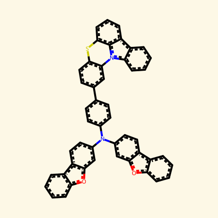 c1ccc2c(c1)oc1cc(N(c3ccc(-c4ccc5c(c4)-n4c6ccccc6c6cccc(c64)S5)cc3)c3ccc4c(c3)oc3ccccc34)ccc12